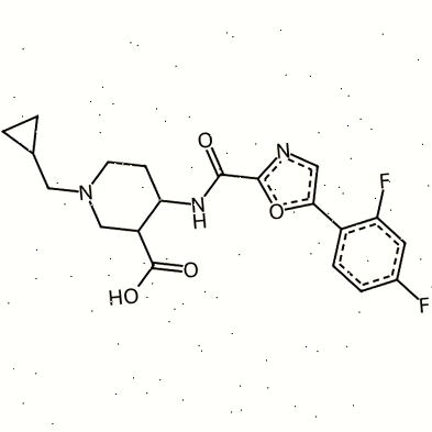 O=C(NC1CCN(CC2CC2)CC1C(=O)O)c1ncc(-c2ccc(F)cc2F)o1